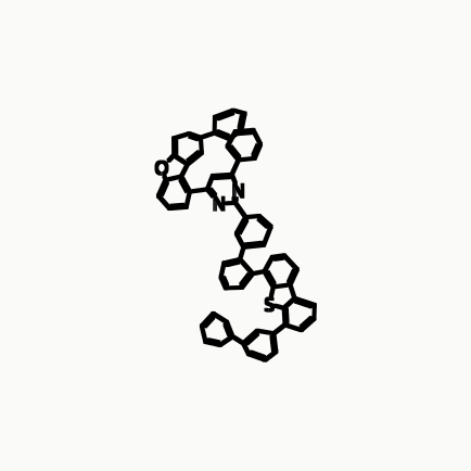 c1ccc(-c2cccc(-c3cccc4c3sc3c(-c5ccccc5-c5cccc(-c6nc(-c7ccccc7)cc(-c7cccc8oc9ccc(-c%10ccccc%10)cc9c78)n6)c5)cccc34)c2)cc1